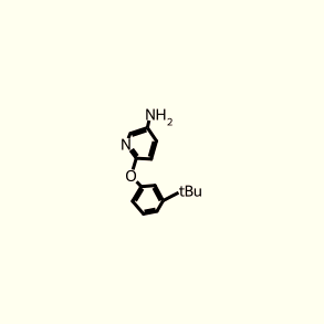 CC(C)(C)c1cccc(Oc2ccc(N)cn2)c1